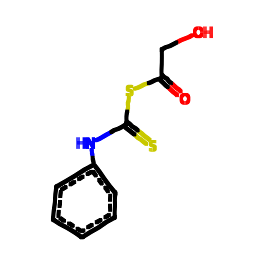 O=C(CO)SC(=S)Nc1ccccc1